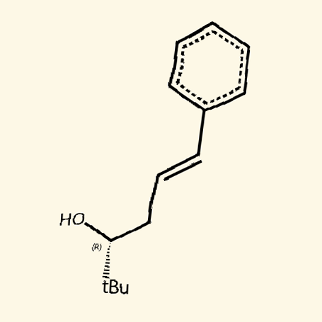 CC(C)(C)[C@H](O)CC=Cc1ccccc1